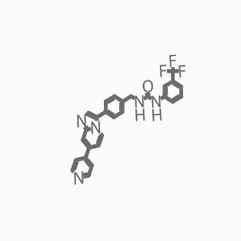 O=C(NCc1ccc(-c2cnc3cc(-c4ccncc4)ccn23)cc1)Nc1cccc(C(F)(F)F)c1